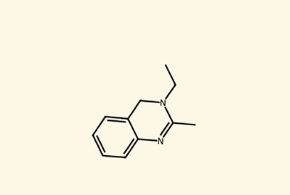 CCN1Cc2ccccc2N=C1C